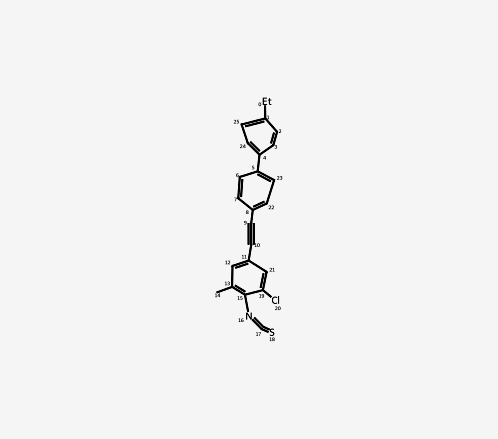 CCc1ccc(-c2ccc(C#Cc3cc(C)c(N=C=S)c(Cl)c3)cc2)cc1